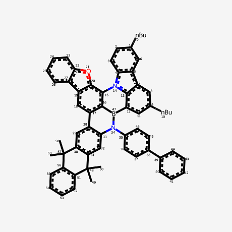 CCCCc1ccc2c(c1)c1cc(CCCC)cc3c1n2-c1c2c(cc4c1oc1ccccc14)-c1cc4c(cc1N(c1ccc(-c5ccccc5)cc1)B23)C(C)(C)c1ccccc1C4(C)C